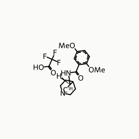 COc1ccc(OC)c(C(=O)N[C@H]2CN3CCC2CC3)c1.O=C(O)C(F)(F)F